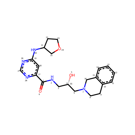 O=C(NC[C@H](O)CN1CCc2ccccc2C1)c1cc(NC2CCOC2)ncn1